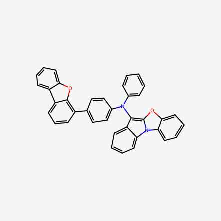 c1ccc(N(c2ccc(-c3cccc4c3oc3ccccc34)cc2)c2c3ccccc3n3c2oc2ccccc23)cc1